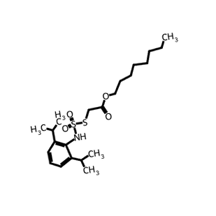 CCCCCCCCOC(=O)CSS(=O)(=O)Nc1c(C(C)C)cccc1C(C)C